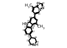 Cc1cc(-c2cc(C)c3ncnn3c2)cc2[nH]c3ccc(C4CCNCC4)cc3c12